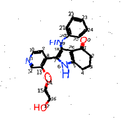 O=C1CCCc2[nH]c(-c3ccncc3OCCO)c(Nc3ccccc3)c21